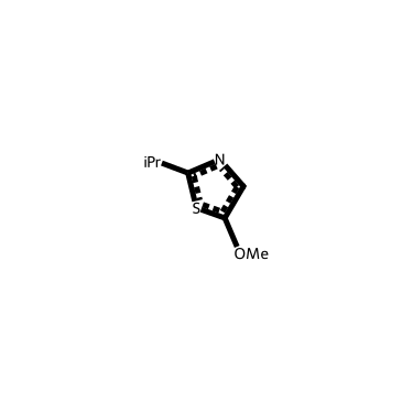 COc1cnc(C(C)C)s1